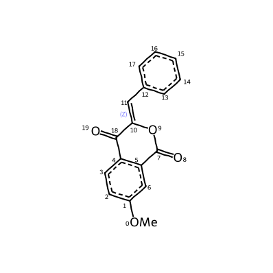 COc1ccc2c(c1)C(=O)O/C(=C\c1ccccc1)C2=O